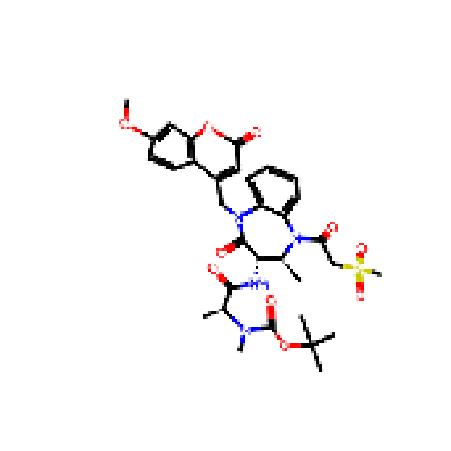 COc1ccc2c(CN3C(=O)[C@@H](NC(=O)[C@H](C)N(C)C(=O)OC(C)(C)C)[C@H](C)N(C(=O)CS(C)(=O)=O)c4ccccc43)cc(=O)oc2c1